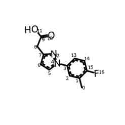 Cc1cc(-n2ccc(CC(=O)O)n2)ccc1F